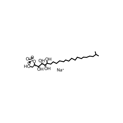 CC(C)CCCCCCCCCCCCCCCC(O)[C@@H](O)[C@@H](O)[C@H](O)[C@@H](CO)OS(=O)(=O)[O-].[Na+]